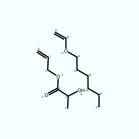 C=CCOC(=O)C(C)O.C=COCCCCCC